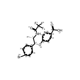 C[C@H](NC(=O)C(F)(F)F)[C@H](Oc1ccc(C(=O)O)nc1)c1ccc(Br)cc1